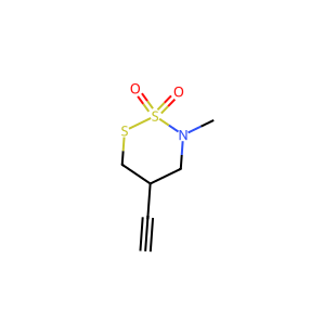 C#CC1CSS(=O)(=O)N(C)C1